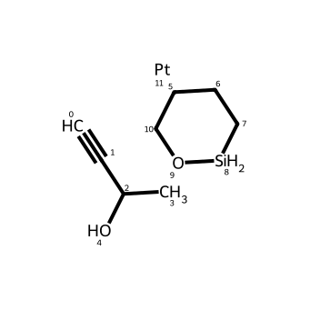 C#CC(C)O.C1CC[SiH2]OC1.[Pt]